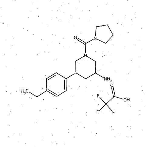 CCc1ccc(C2CC(N)CN(C(=O)N3CCCC3)C2)cc1.O=C(O)C(F)(F)F